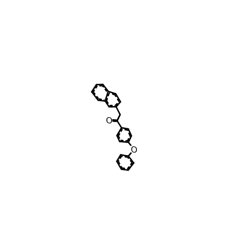 O=C(Cc1ccc2ccccc2c1)c1ccc(Oc2ccccc2)cc1